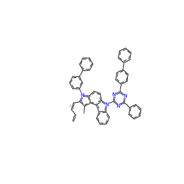 C=C/C=C\c1c(C)c2c3c4ccccc4n(-c4nc(-c5ccccc5)nc(-c5ccc(-c6ccccc6)cc5)n4)c3ccc2n1-c1cccc(-c2ccccc2)c1